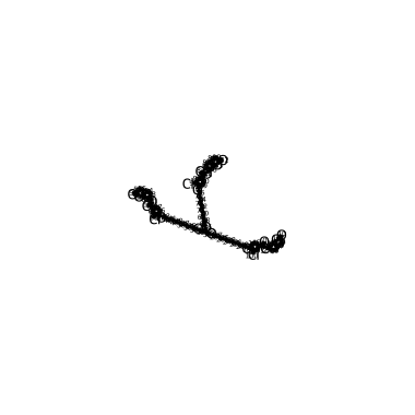 O=C(Oc1ccc2ccc(=O)oc2c1)c1ccc(OCCCCCCCCCCOCC(COCCCCCCCCCCOc2ccc(C(=O)Oc3ccc4ccc(=O)oc4c3)cc2Cl)OCCCCCCCCCCOc2ccc(C(=O)Oc3ccc4ccc(=O)oc4c3)cc2Cl)c(Cl)c1